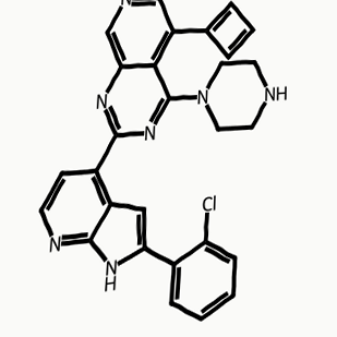 Clc1ccccc1-c1cc2c(-c3nc(N4CCNCC4)c4c(C5=CC=C5)cncc4n3)ccnc2[nH]1